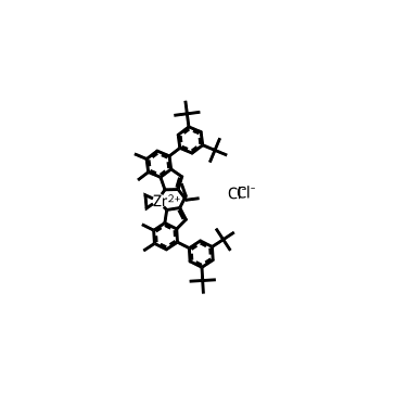 CCC1=Cc2c(-c3cc(C(C)(C)C)cc(C(C)(C)C)c3)cc(C)c(C)c2[CH]1[Zr+2]1([CH]2C(CC)=Cc3c(-c4cc(C(C)(C)C)cc(C(C)(C)C)c4)cc(C)c(C)c32)[CH2][CH2]1.[Cl-].[Cl-]